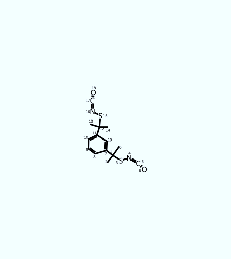 CC(C)(SN=C=O)c1cccc(C(C)(C)SN=C=O)c1